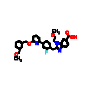 COCCn1c(Cc2ccc(-c3cccc(OCc4cccc(COC)c4)n3)cc2F)nc2ccc(C(=O)O)cc21